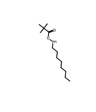 CCCCCCCCPOC(=O)C(C)(C)C